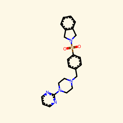 O=S(=O)(c1ccc(CN2CCN(c3ncccn3)CC2)cc1)N1Cc2ccccc2C1